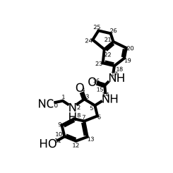 N#CCNC(=O)C(Cc1ccc(O)cc1)NC(=O)Nc1ccc2c(c1)CCC2